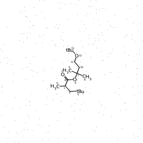 CC(CC(C)(C)C)C(=O)OC(C)(C)CCOC(C)(C)C